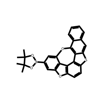 CC1(C)OB(c2cc3oc4ccc5sc6cc7ccccc7c7oc(c2)c3c4c5c67)OC1(C)C